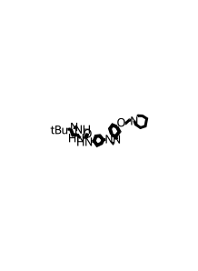 CC(C)(C)c1cc(NC(=O)Nc2ccc(-n3cnc4cc(OCCN5CCCCCC5)ccc43)cc2)[nH]n1